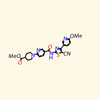 COC(=O)C1CCN(c2ccc(C(=O)Nc3nc(-c4ccc(OC)nc4)c(C#N)s3)cn2)CC1